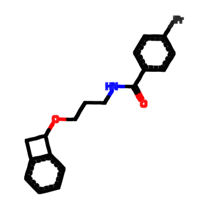 CC(C)c1ccc(C(=O)NCCCOC2Cc3ccccc32)cc1